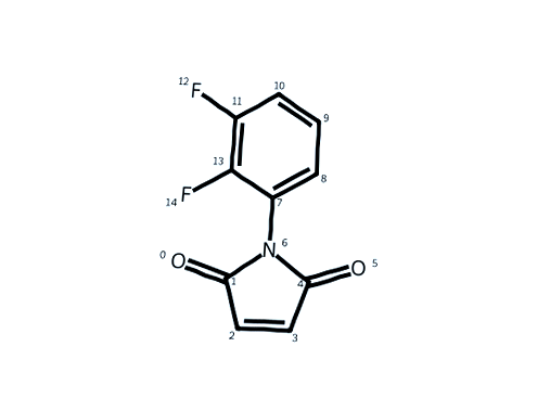 O=C1C=CC(=O)N1c1cccc(F)c1F